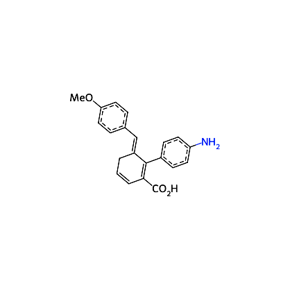 COc1ccc(C=C2CC=CC(C(=O)O)=C2c2ccc(N)cc2)cc1